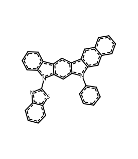 c1ccc(-n2c3cc4ccccc4cc3c3cc4c5ccccc5n(-c5nc6ccccc6s5)c4cc32)cc1